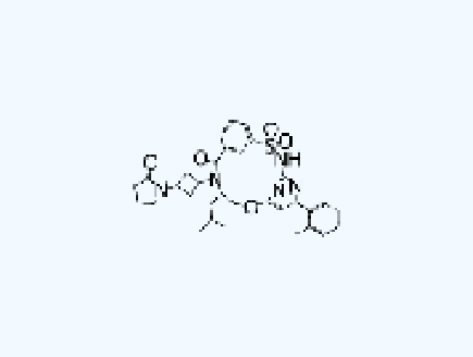 Cc1cccc(C)c1-c1cc2nc(n1)NS(=O)(=O)c1cccc(c1)C(=O)N(C1CC(N3CCCC3=O)C1)[C@H](CC(C)C)CO2